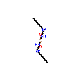 CCCCCCCCCCCC[N+](C)(C)CCCC(=O)NCCSSCCNC(=O)CCC[N+](C)(C)CCCCCCCCCCCC